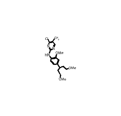 COCC[C](CCOC)c1ccc(Nc2ncc(C(F)(F)F)c(Cl)n2)c(OC)c1